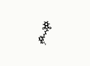 Nc1ccnc(SCCCCN2C(=O)c3ccccc3C2=O)n1